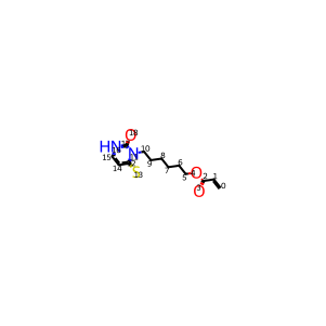 C=CC(=O)OCCCCCCn1c(=S)cc[nH]c1=O